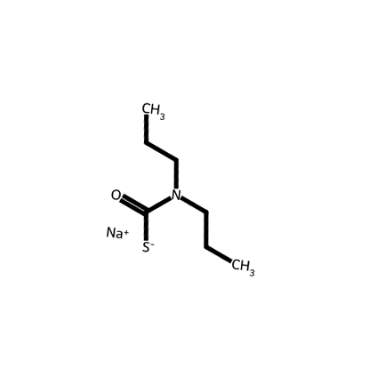 CCCN(CCC)C(=O)[S-].[Na+]